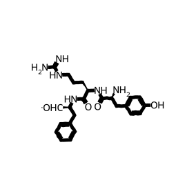 N=C(N)NCCC[C@@H](NC(=O)[C@@H](N)Cc1ccc(O)cc1)C(=O)N[C@H]([C]=O)Cc1ccccc1